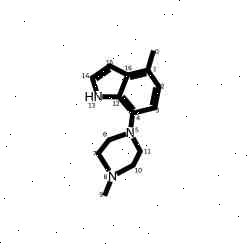 Cc1ccc(N2CCN(C)CC2)c2[nH]ccc12